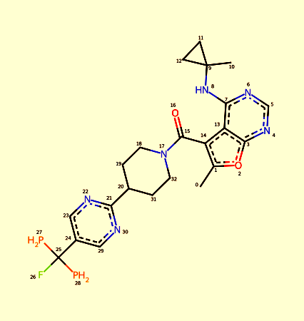 Cc1oc2ncnc(NC3(C)CC3)c2c1C(=O)N1CCC(c2ncc(C(F)(P)P)cn2)CC1